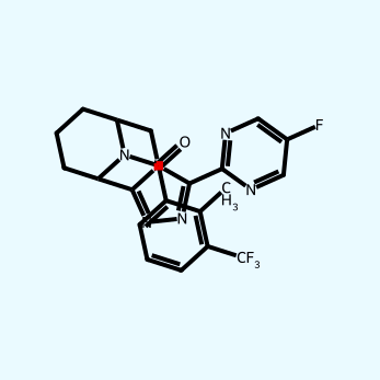 Cc1c(C(=O)N2C3CCCC2c2nnc(-c4ncc(F)cn4)n2C3)cccc1C(F)(F)F